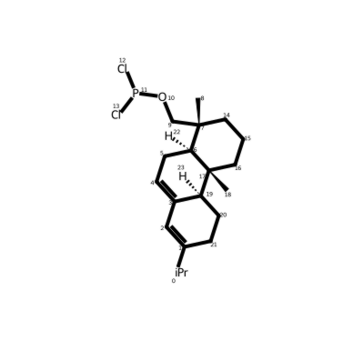 CC(C)C1=CC2=CC[C@H]3[C@](C)(COP(Cl)Cl)CCC[C@]3(C)[C@H]2CC1